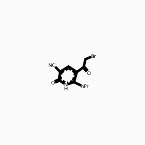 CCCc1[nH]c(=O)c(C#N)cc1C(=O)CBr